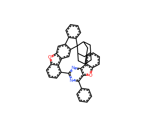 c1ccc(-c2nc(-c3cccc4oc5cc6c(cc5c34)C3(c4ccccc4-6)C4CC5CC(C4)CC3C5)nc3c2oc2ccccc23)cc1